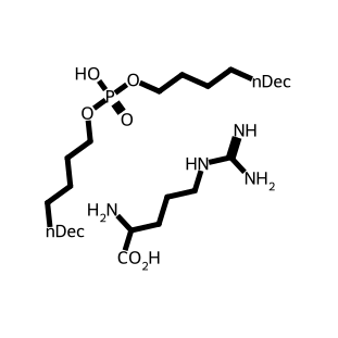 CCCCCCCCCCCCCCOP(=O)(O)OCCCCCCCCCCCCCC.N=C(N)NCCCC(N)C(=O)O